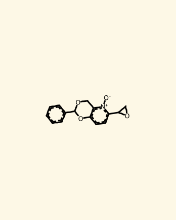 [O-][n+]1c(C2CO2)ccc2c1COC(c1ccccc1)O2